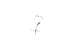 FC(F)(F)C1=NCCO1